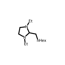 CCCCCCCC1N(CC)CCN1CC